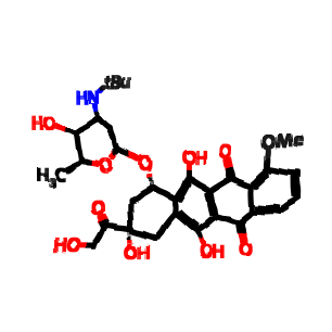 COc1cccc2c1C(=O)c1c(O)c3c(c(O)c1C2=O)C[C@@](O)(C(=O)CO)C[C@@H]3OC1C[C@H](NC(C)(C)C)[C@H](O)[C@H](C)O1